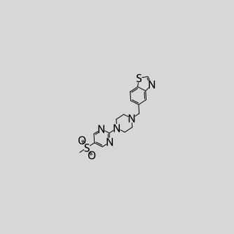 CS(=O)(=O)c1cnc(N2CCN(Cc3ccc4scnc4c3)CC2)nc1